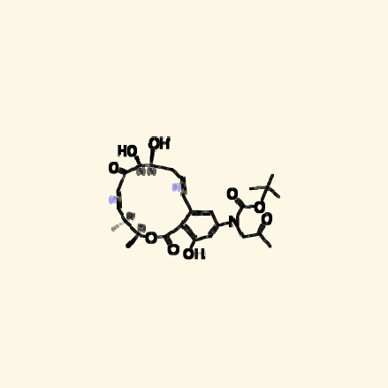 CC(=O)CN(C(=O)OC(C)(C)C)c1cc(O)c2c(c1)/C=C/C[C@H](O)[C@H](O)C(=O)/C=C\[C@@H](C)[C@H](C)OC2=O